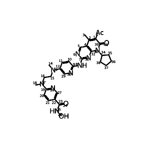 CC(=O)c1c(C)c2cnc(Nc3ccc(N(C)CCN(C)c4ccc(C(=O)NO)cn4)cn3)nc2n(C2CCCC2)c1=O